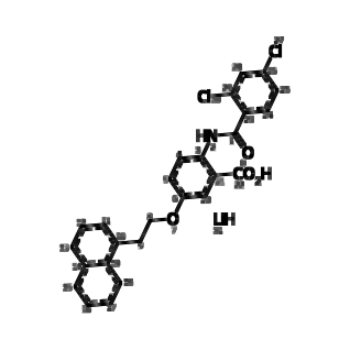 O=C(Nc1ccc(OCCc2cccc3ccccc23)cc1C(=O)O)c1ccc(Cl)cc1Cl.[LiH]